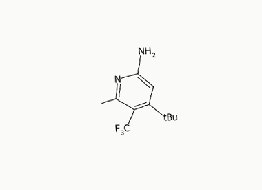 Cc1nc(N)cc(C(C)(C)C)c1C(F)(F)F